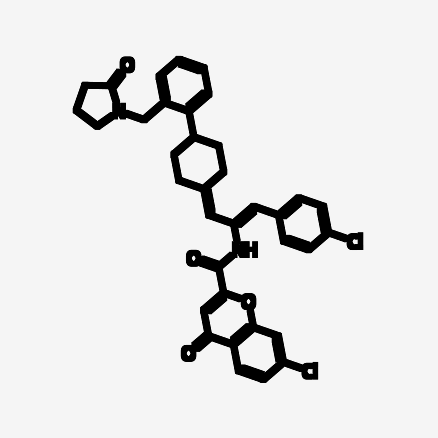 O=C(N/C(C=C1CCC(c2ccccc2CN2CCCC2=O)CC1)=C\c1ccc(Cl)cc1)c1cc(=O)c2ccc(Cl)cc2o1